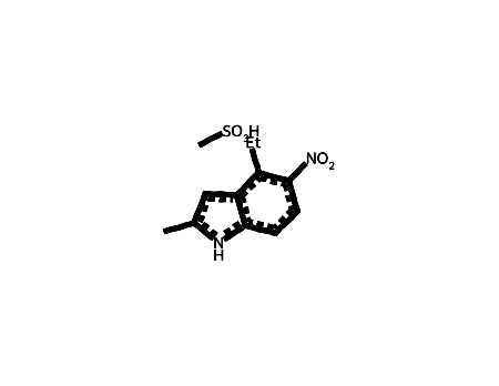 CCc1c([N+](=O)[O-])ccc2[nH]c(C)cc12.CS(=O)(=O)O